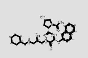 CC(C)(C)C(=O)N1CCC[C@H]1C(=O)N[C@H](Cc1ccc2ccccc2c1)C(=O)NCC(O)CNCC1CCCCC1.Cl